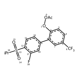 CC(=O)OOc1ccc(C(F)(F)F)cc1-c1ccc(S(=O)(=O)C(C)C)c(F)c1